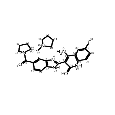 Nc1c(-c2nc3cc(C(=O)N4CCC[C@@H]4CN4CCCC4)ccc3[nH]2)c(=O)[nH]c2ccc(F)cc12